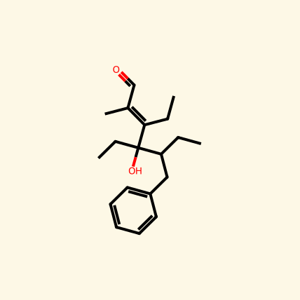 CCC(=C(C)C=O)C(O)(CC)C(CC)Cc1ccccc1